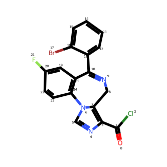 O=C(Cl)c1ncn2c1CN=C(c1ccccc1Br)c1cc(F)ccc1-2